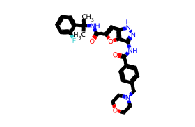 CC(C)(NC(=O)c1cc2[nH]nc(NC(=O)c3ccc(CN4CCOCC4)cc3)c2o1)c1ccccc1F